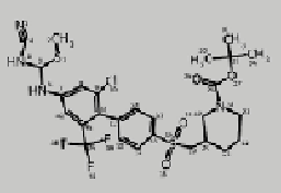 CSC(NC#N)Nc1cc(Cl)c(-c2ccc(S(=O)(=O)CC3CCCN(C(=O)OC(C)(C)C)C3)cc2)c(C(F)(F)F)c1